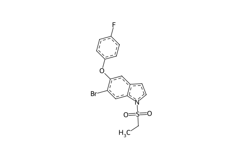 CCS(=O)(=O)n1ccc2cc(Oc3ccc(F)cc3)c(Br)cc21